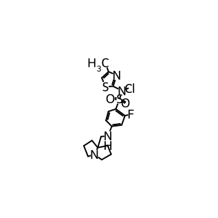 Cc1csc(N(Cl)S(=O)(=O)c2ccc(NCC34CCCN3CCC4)cc2F)n1